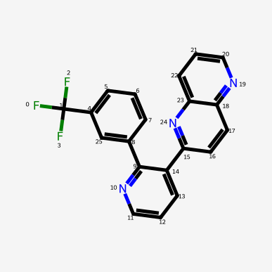 FC(F)(F)c1cccc(-c2ncccc2-c2ccc3ncccc3n2)c1